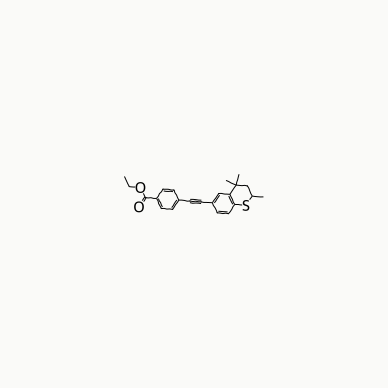 CCOC(=O)c1ccc(C#Cc2ccc3c(c2)C(C)(C)CC(C)S3)cc1